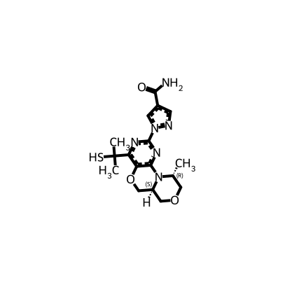 C[C@@H]1COC[C@H]2COc3c(nc(-n4cc(C(N)=O)cn4)nc3C(C)(C)S)N21